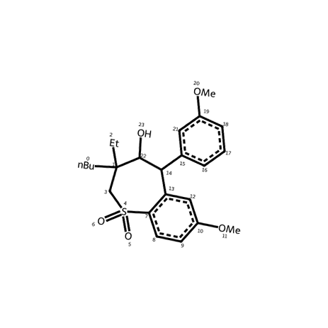 CCCCC1(CC)CS(=O)(=O)c2ccc(OC)cc2C(c2cccc(OC)c2)C1O